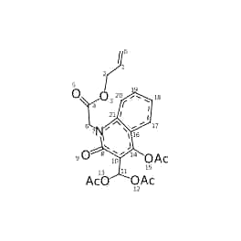 C=CCOC(=O)Cn1c(=O)c(C(OC(C)=O)OC(C)=O)c(OC(C)=O)c2ccccc21